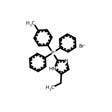 CCc1cnc([P+](c2ccccc2)(c2ccccc2)c2ccc(C)cc2)[nH]1.[Br-]